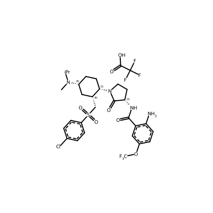 CC(C)N(C)[C@@H]1CC[C@H](N2CC[C@H](NC(=O)c3cc(OC(F)(F)F)ccc3N)C2=O)[C@H](CS(=O)(=O)c2ccc(Cl)cc2)C1.O=C(O)C(F)(F)F